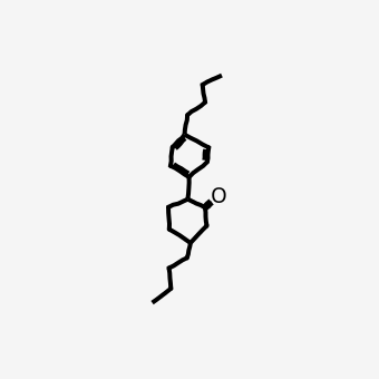 CCCCc1ccc(C2CCC(CCCC)CC2=O)cc1